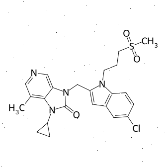 Cc1cncc2c1n(C1CC1)c(=O)n2Cc1cc2cc(Cl)ccc2n1CCCS(C)(=O)=O